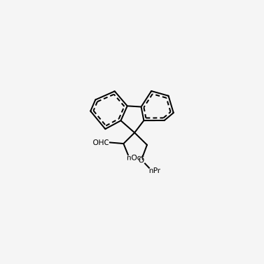 CCCCCCCCC(C=O)C1(COCCC)c2ccccc2-c2ccccc21